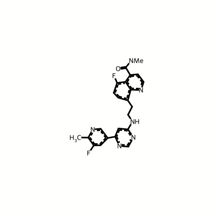 CNC(=O)c1ccnc2c(CCNc3cc(-c4cnc(C)c(F)c4)ncn3)ccc(F)c12